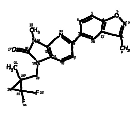 Cc1noc2ccc(-c3ccc4c(n3)n(C)c(=O)n4CC3(C)CC3(F)F)cc12